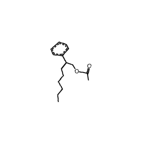 CCCCCCC(COC(C)=O)c1ccccc1